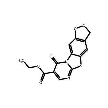 CCOC(=O)c1cnc2sc3cc4c(cc3n2c1=O)OOC4